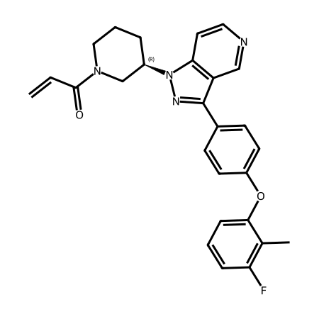 C=CC(=O)N1CCC[C@@H](n2nc(-c3ccc(Oc4cccc(F)c4C)cc3)c3cnccc32)C1